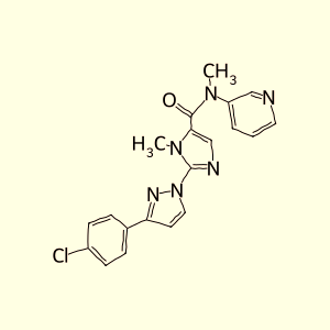 CN(C(=O)c1cnc(-n2ccc(-c3ccc(Cl)cc3)n2)n1C)c1cccnc1